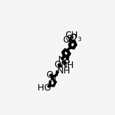 CS(=O)(=O)c1cccc(-c2ccc3nc(NC(=O)NCCC(=O)N4CCC(O)C4)sc3c2)c1